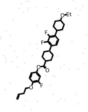 C=CCCOc1ccc(OC(=O)C2CCC(c3ccc(C4CCC(OCC)CC4)c(F)c3F)CC2)cc1F